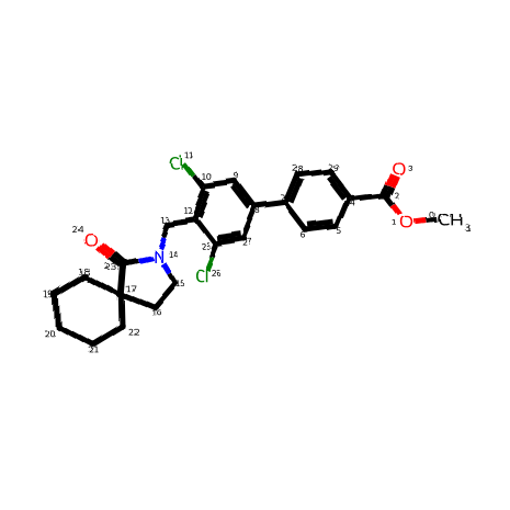 COC(=O)c1ccc(-c2cc(Cl)c(CN3CCC4(CCCCC4)C3=O)c(Cl)c2)cc1